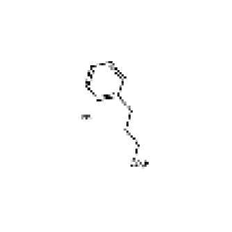 O=C(O)CCCc1ccccc1.[Na]